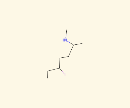 CCC(I)CCC(C)NC